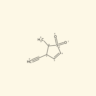 C#CC1C=CS(=O)(=O)C1C